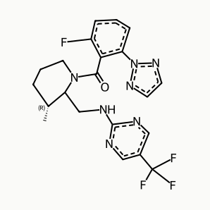 C[C@@H]1CCCN(C(=O)c2c(F)cccc2-n2nccn2)C1CNc1ncc(C(F)(F)F)cn1